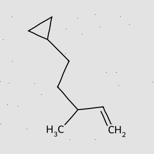 C=CC(C)CCC1CC1